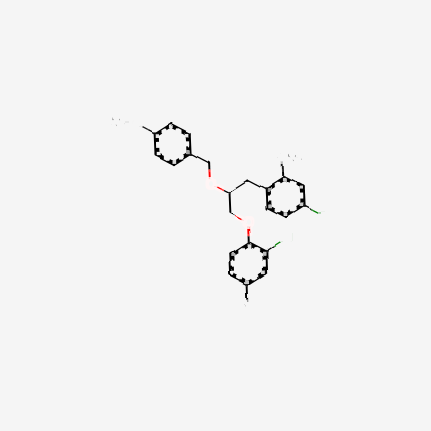 COc1ccc(COC(COc2ccc(C)cc2Cl)Cc2ccc(F)cc2OC)cc1